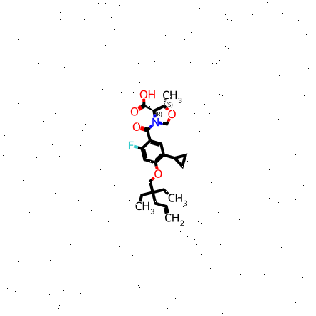 C=CCC(CC)(CC)COc1cc(F)c(C(=O)N2CO[C@@H](C)[C@@H]2C(=O)O)cc1C1CC1